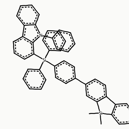 C[Si]1(C)c2ccccc2-c2ccc(-c3ccc([Si](c4ccccc4)(c4ccccc4)c4cccc5c6ccccc6n(-c6ccccc6)c45)cc3)cc21